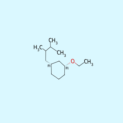 CCO[C@@H]1CCC[C@H](CC(C)C(C)C)C1